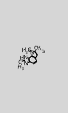 Cc1nc2ccc3cc(C)n(C)c3c2[nH]1